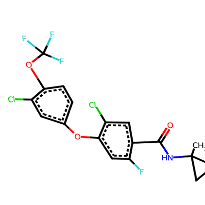 CC1(NC(=O)c2cc(Cl)c(Oc3ccc(OC(F)(F)F)c(Cl)c3)cc2F)CC1